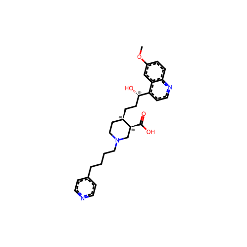 COc1ccc2nccc([C@@H](O)CC[C@@H]3CCN(CCCCc4ccncc4)C[C@@H]3C(=O)O)c2c1